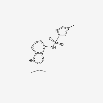 Cn1cnc(S(=O)(=O)Nc2cccc3[nH]c(C(C)(C)C)cc23)c1